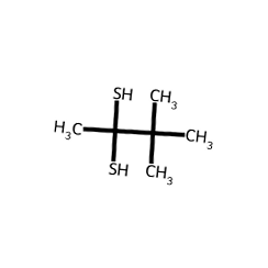 CC(C)(C)C(C)(S)S